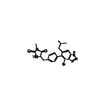 CC(C)Cc1cc2[nH]nnc2c(Br)c1-c1ccc(CC2NC(=O)N(C)C2=O)cc1